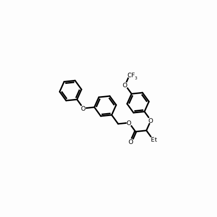 CCC(Oc1ccc(OC(F)(F)F)cc1)C(=O)OCc1cccc(Oc2ccccc2)c1